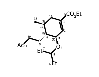 CCOC(=O)C1=C[C@@H](OC(CC)CC)[C@H](CCC(C)=O)[C@@H](C)C1